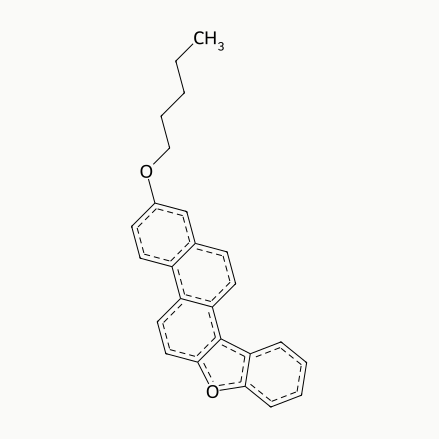 CCCCCOc1ccc2c(ccc3c2ccc2oc4ccccc4c23)c1